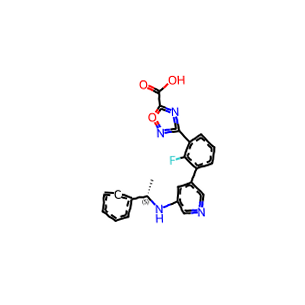 C[C@H](Nc1cncc(-c2cccc(-c3noc(C(=O)O)n3)c2F)c1)c1ccccc1